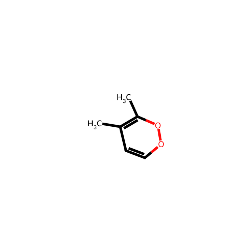 CC1=C(C)OOC=C1